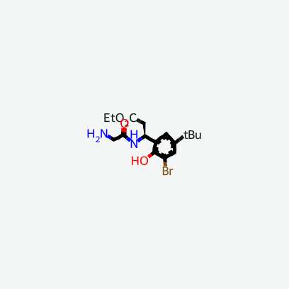 CCOC(=O)C[C@H](NC(=O)CN)c1cc(C(C)(C)C)cc(Br)c1O